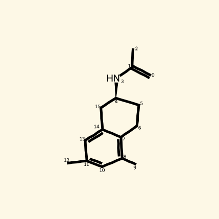 C=C(C)N[C@H]1CCc2c(C)cc(C)cc2C1